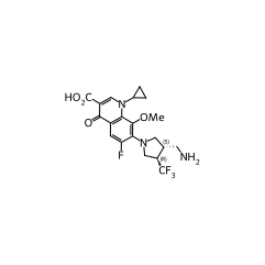 COc1c(N2C[C@H](CN)[C@@H](C(F)(F)F)C2)c(F)cc2c(=O)c(C(=O)O)cn(C3CC3)c12